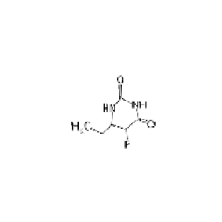 CCC1NC(=O)NC(=O)C1F